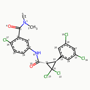 CCN(C)C(=O)c1cc(NC(=O)[C@@H]2[C@@H](c3cc(Cl)cc(Cl)c3)C2(Cl)Cl)ccc1Cl